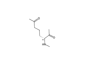 CN[C@H](CCCC(C)=O)C(C)=O